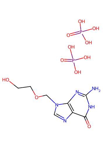 Nc1nc2c(ncn2COCCO)c(=O)[nH]1.O=P(O)(O)O.O=P(O)(O)O